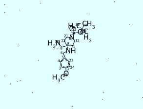 COc1ccc(CNC2(CN)CCN(C(=O)OC(C)(C)C)CC2)cc1